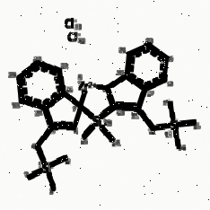 C[Si](C)(C)CC1=C[C]2([Zr+2][CH]3C(=C(C[Si](C)(C)C)c4ccccc43)[Si]2(C)C)c2ccccc21.[Cl-].[Cl-]